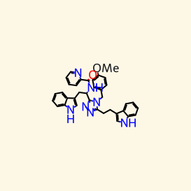 COc1ccc(Cn2c(CCc3c[nH]c4ccccc34)nnc2C(Cc2c[nH]c3ccccc23)NC(=O)c2ccccn2)cc1